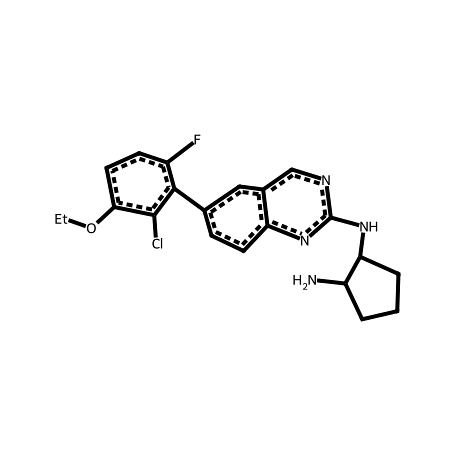 CCOc1ccc(F)c(-c2ccc3nc(NC4CCCC4N)ncc3c2)c1Cl